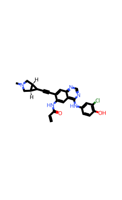 C=CC(=O)Nc1cc2c(Nc3ccc(O)c(Cl)c3)ncnc2cc1C#CC1[C@H]2CN(C)C[C@@H]12